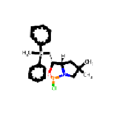 CC1(C)C[C@H]2[C@@H](C[Si](C)(c3ccccc3)c3ccccc3)OP(Cl)N2C1